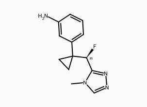 Cn1cnnc1[C@H](F)C1(c2cccc(N)c2)CC1